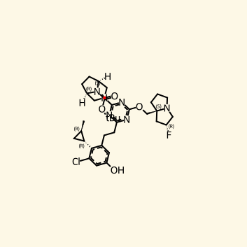 C[C@@H]1C[C@H]1c1c(Cl)cc(O)cc1CCc1nc(OC[C@@]23CCCN2C[C@H](F)C3)nc(N2C[C@H]3CC[C@@H](C2)N3C(=O)OC(C)(C)C)n1